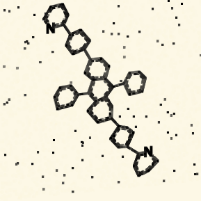 c1ccc(-c2c3ccc(-c4ccc(-c5ccccn5)cc4)cc3c(-c3ccccc3)c3ccc(-c4ccc(-c5ccccn5)cc4)cc23)cc1